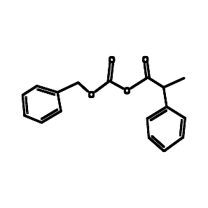 CC(C(=O)OC(=O)OCc1ccccc1)c1ccccc1